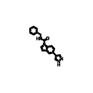 O=C(NCc1ccccc1)n1ccc2cc(-c3cn[nH]c3)ccc21